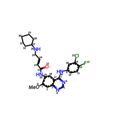 COc1cc2ncnc(Nc3ccc(F)c(Cl)c3)c2cc1NC(=O)/C=C/CNC1CCCCC1